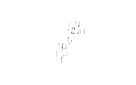 CNc1cnc(C(=O)N2CCc3[nH]c4c(Cl)c(Cl)ccc4c3[C@@H]2C)[nH]1